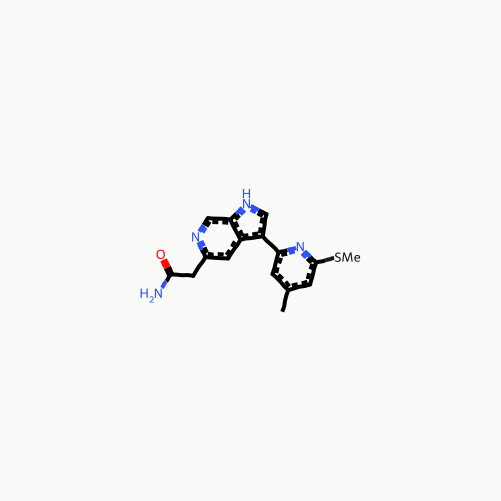 CSc1cc(C)cc(-c2c[nH]c3cnc(CC(N)=O)cc23)n1